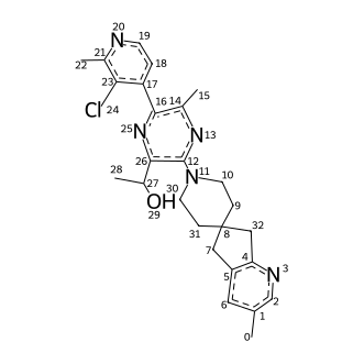 Cc1cnc2c(c1)CC1(CCN(c3nc(C)c(-c4ccnc(C)c4Cl)nc3C(C)O)CC1)C2